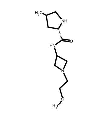 COCCN1CC(NC(=O)[C@@H]2CC(C)CN2)C1